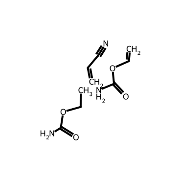 C=CC#N.C=COC(N)=O.CCOC(N)=O